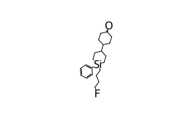 O=C1CCC(C2CC[Si](CCCCF)(c3ccccc3)CC2)CC1